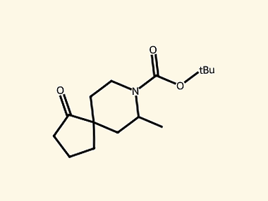 CC1CC2(CCCC2=O)CCN1C(=O)OC(C)(C)C